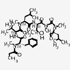 CCC(=O)N(C)[C@@H](Cc1ccccc1)C(=O)N[C@H](C(=O)N(C)[C@@H](CC(C)C)C(=O)N[C@H](C(=O)N(C)C(=O)N(C)[C@H](C=O)CC(C)C)[C@@H](C)O)C(C)C